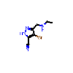 CCNCc1n[nH]c(C#N)c1Br